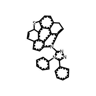 C1=CC2Sc3ccc4c5c3c2c2c1ccc1c2c5c(n1-c1nnc(-c2ccccc2)n1-c1ccccc1)=CC4